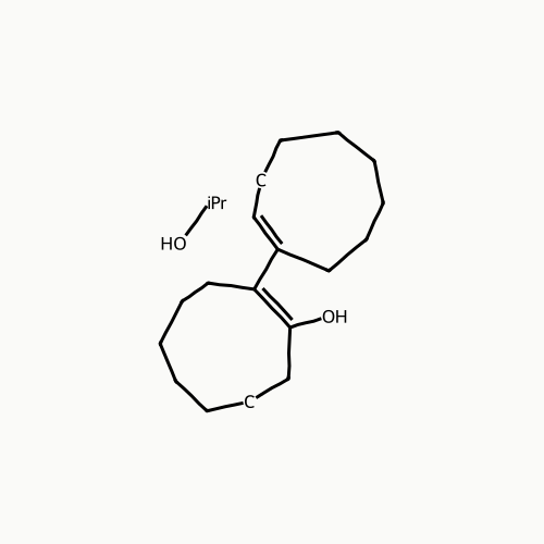 CC(C)O.OC1=C(C2=CCCCCCCC2)CCCCCCC1